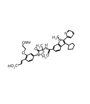 COCCOc1cc(NC(=O)C(C)(C)NC(=O)c2ccc3c(C4CCCC4)c(-c4ccccn4)n(C)c3c2)ccc1/C=C/C(=O)O